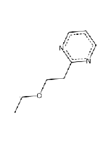 C[CH]OCCc1ncccn1